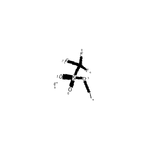 O=S(=O)(OI)C(F)(F)F.[I+]